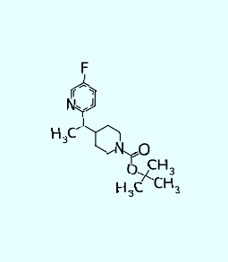 CC(c1ccc(F)cn1)C1CCN(C(=O)OC(C)(C)C)CC1